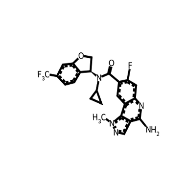 Cn1ncc2c(N)nc3cc(F)c(C(=O)N(C4CC4)[C@@H]4COc5cc(C(F)(F)F)ccc54)cc3c21